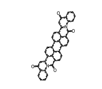 O=c1cc2c3ccc4c5ccc6c7c(ccc(c8ccc(c(=O)n2c2ccccc12)c3c84)c57)c(=O)n1c2ccccc2c(=O)cc61